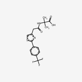 CC(C)(NC(=O)Cc1csc(-c2ccc(C(F)(F)F)cc2)n1)C(=O)O